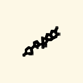 O=C1CCC(c2ccc(S(=O)(=O)Nc3cc4c[nH]c(=O)cc4cc3F)s2)=CN1